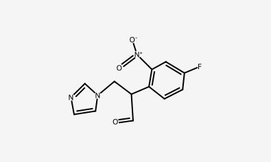 O=CC(Cn1ccnc1)c1ccc(F)cc1[N+](=O)[O-]